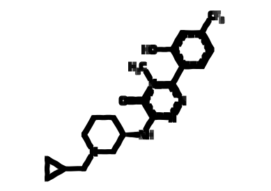 Cn1c(-c2ccc(C(F)(F)F)cc2O)nnc(N[C@@H]2CCCN(CC3CC3)C2)c1=O